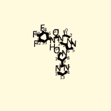 C[C@H]1Cn2ncc(N3CC(c4ncccn4)CC3=O)c2CN1C(=O)Nc1cc(F)c(F)c(F)c1